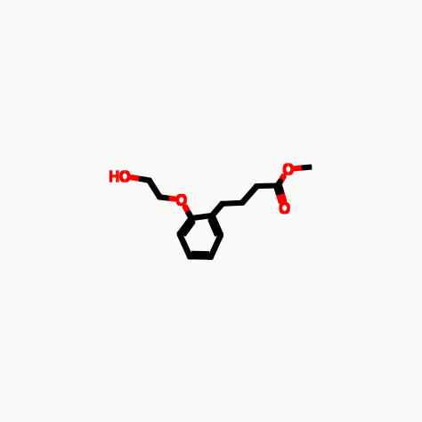 COC(=O)CCCc1ccccc1OCCO